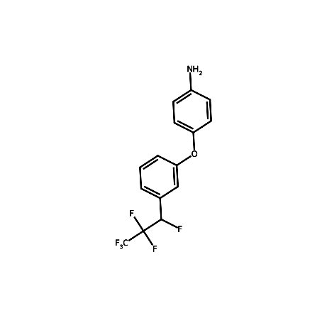 Nc1ccc(Oc2cccc(C(F)C(F)(F)C(F)(F)F)c2)cc1